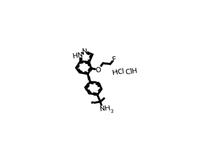 CC(C)(N)c1ccc(-c2ccc3[nH]ncc3c2OCCF)cc1.Cl.Cl